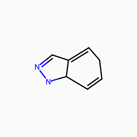 C1=CC2[N]N=CC2=CC1